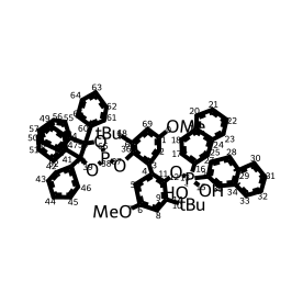 COc1cc(-c2cc(OC)cc(C(C)(C)C)c2OP(O)(O)(c2ccc3ccccc3c2)c2ccc3ccccc3c2)c(OP2OC(c3ccccc3)(c3ccccc3)C(c3ccccc3)(c3ccccc3)O2)c(C(C)(C)C)c1